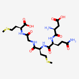 CSCC[C@H](NC(=O)CNC(=O)[C@H](CCSC)NC(=O)[C@H](CCC(N)=O)NC(=O)[C@@H](N)CC(=O)O)C(=O)O